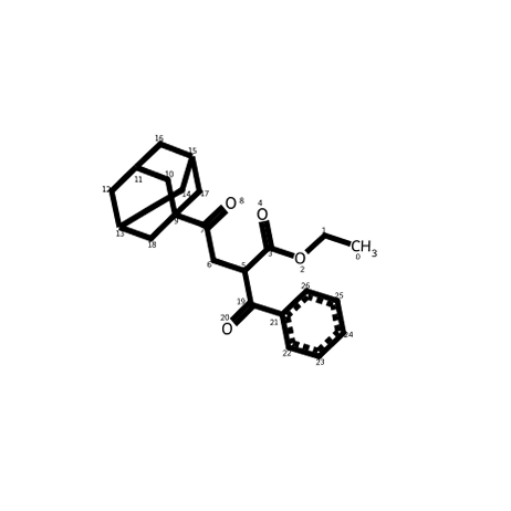 CCOC(=O)C(CC(=O)C12CC3CC(CC(C3)C1)C2)C(=O)c1ccccc1